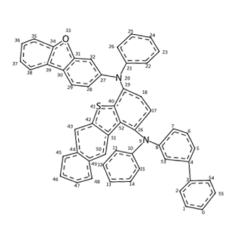 c1ccc(-c2cccc(N(c3ccccc3)c3ccc(N(c4ccccc4)c4ccc5c(c4)oc4ccccc45)c4sc5cc6ccccc6cc5c34)c2)cc1